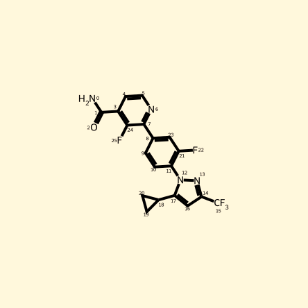 NC(=O)c1ccnc(-c2ccc(-n3nc(C(F)(F)F)cc3C3CC3)c(F)c2)c1F